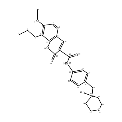 CCCc1c(OC)ccc2cc(C(=O)Nc3ccc(C[N+]4([O-])CCOCC4)cc3)c(=O)oc12